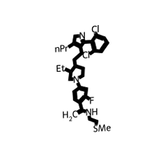 C=C(NCCSC)c1ccc(N2CCC(CCC3=C(CCC)CN=C3c3c(Cl)cccc3Cl)C(CC)C2)cc1F